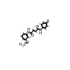 COc1cccc(NC(=O)C=CC(=O)Nc2ccc(F)cc2)c1